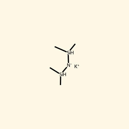 C[SiH](C)[N-][SiH](C)C.[K+]